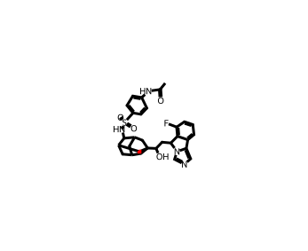 CC(=O)Nc1ccc(S(=O)(=O)NC2C3CC4CC2CC(C(O)CC2c5c(F)cccc5-c5cncn52)(C4)C3)cc1